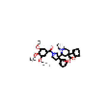 CCN1CCC(C(=O)O)(c2ccccc2)CC1C1(c2ccccc2)CCN(C(=O)c2cc(OC)c(OC)c(OC)c2)C1